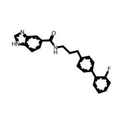 O=C(NCCCc1ccc(-c2ccccc2F)cc1)c1ccc2[nH]cnc2c1